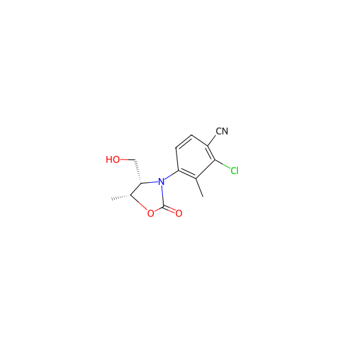 Cc1c(N2C(=O)O[C@H](C)[C@@H]2CO)ccc(C#N)c1Cl